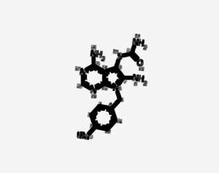 CC(C)(C)c1ccc(Cn2c(N)c(SC(N)=O)c3c(N)ncnc32)cc1